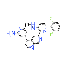 Cc1cc(-c2ccnc3cnc(-c4nc(-c5c(F)cccc5F)ccc4N)cc23)cc(N)n1